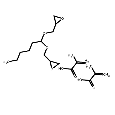 C=C(C)C(=O)O.C=C(C)C(=O)O.CCCCCC(OCC1CO1)OCC1CO1